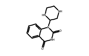 O=c1[nH]c(=O)n(C2CNCCN2)c2ccccc12